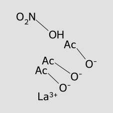 CC(=O)[O-].CC(=O)[O-].CC(=O)[O-].O=[N+]([O-])O.[La+3]